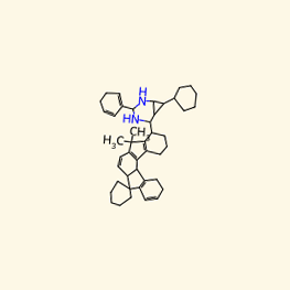 CC1(C)C2=C(C3=C1C(C1NC(C4=CCCC=C4)NC4C(C5CCCCC5)C14)CCC3)C1C3=C(C=CCC3)C3(CCCCC3)C1C=C2